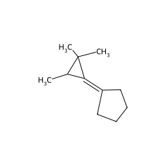 CC1C(=C2CCCC2)C1(C)C